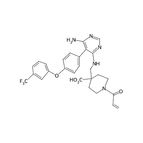 C=CC(=O)N1CCC(CNc2ncnc(N)c2-c2ccc(Oc3cccc(C(F)(F)F)c3)cc2)(C(=O)O)CC1